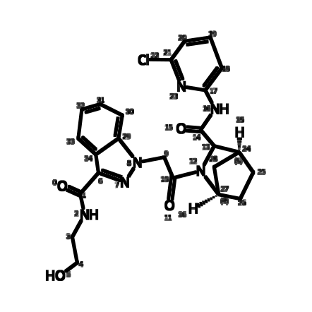 O=C(NCCO)c1nn(CC(=O)N2C(C(=O)Nc3cccc(Cl)n3)[C@H]3CC[C@@H]2C3)c2ccccc12